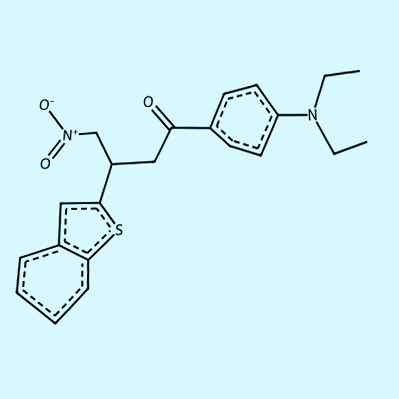 CCN(CC)c1ccc(C(=O)CC(C[N+](=O)[O-])c2cc3ccccc3s2)cc1